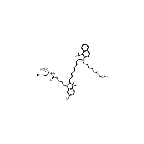 COOOSCCCC[N+]1=C(/C=C/C=C/C=C/C=C2/N(CCCCC(=O)NC(CC(=O)O)C(=O)O)c3cc(Br)ccc3C2(C)C)C(C)(C)c2c1ccc1ccccc21